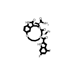 CC(C)C[C@H]1C(=O)N2C[C@]3(C[C@H]2C(N)=O)C(=O)Nc2ccc(cc23)OCCCCN1C(=O)c1cc2c(F)cc(F)cc2[nH]1